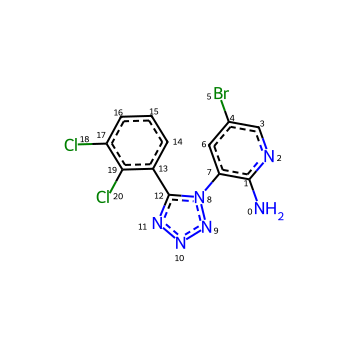 Nc1ncc(Br)cc1-n1nnnc1-c1cccc(Cl)c1Cl